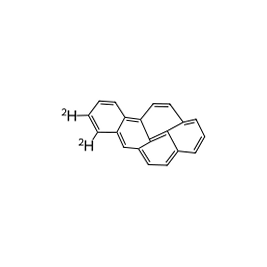 [2H]c1ccc2c(cc3ccc4cccc5ccc2c3c45)c1[2H]